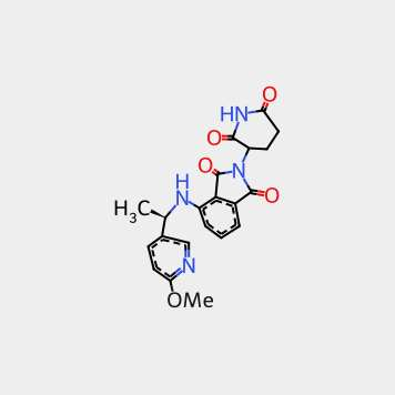 COc1ccc([C@@H](C)Nc2cccc3c2C(=O)N(C2CCC(=O)NC2=O)C3=O)cn1